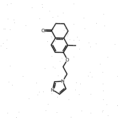 Cc1c(OCCn2ccnc2)ccc2c1CCCC2=O